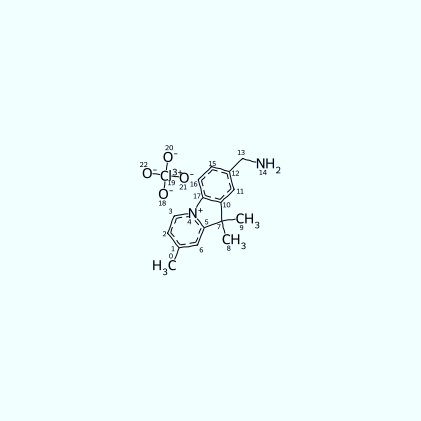 Cc1cc[n+]2c(c1)C(C)(C)c1cc(CN)ccc1-2.[O-][Cl+3]([O-])([O-])[O-]